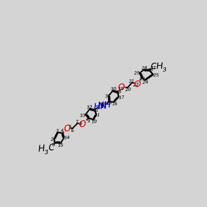 Cc1ccc(OCCOc2ccc(NNc3ccc(OCCOc4ccc(C)cc4)cc3)cc2)cc1